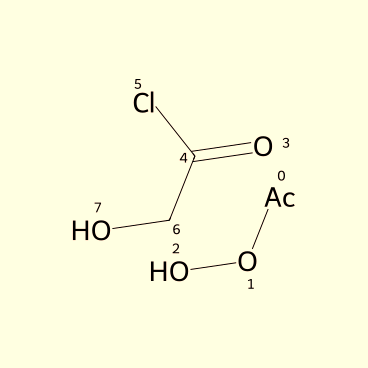 CC(=O)OO.O=C(Cl)CO